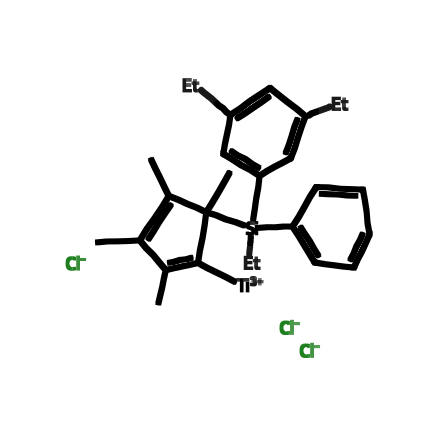 CCc1cc(CC)cc([Si](CC)(c2ccccc2)C2(C)C(C)=C(C)C(C)=[C]2[Ti+3])c1.[Cl-].[Cl-].[Cl-]